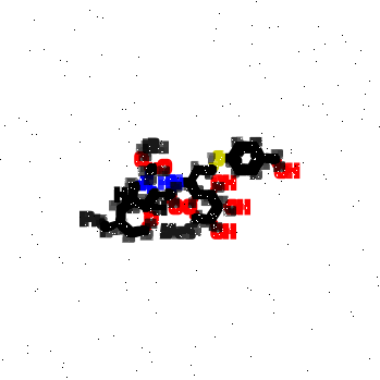 CS[C@H]1O[C@H]([C@H](CCSc2ccc(CO)cc2)NC(=O)[C@@H]2[C@@H]3OCC[C@@H](CC(C)C)C[C@H]3CN2C(=O)OC(C)(C)C)[C@H](O)[C@H](O)[C@H]1O